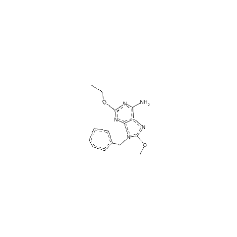 CCOc1nc(N)c2nc(OC)n(Cc3ccccc3)c2n1